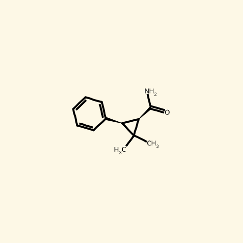 CC1(C)[C@H](C(N)=O)[C@@H]1c1ccccc1